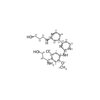 COc1ccc(Cl)cc1Nc1nccc(-c2ccnc(NCCCO)c2)n1.NCCCO